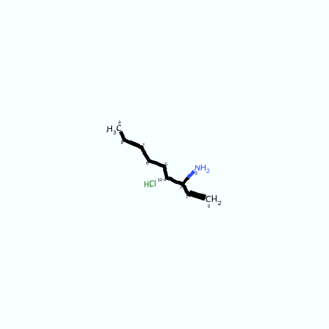 C=CC(N)CCCCCC.Cl